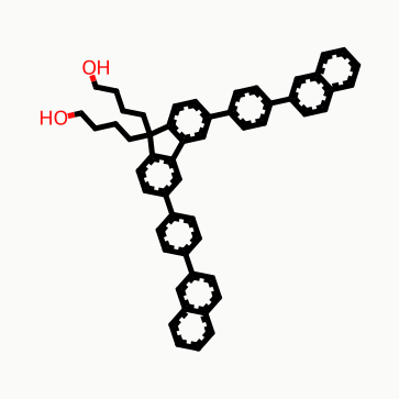 OCCCCC1(CCCCO)c2ccc(-c3ccc(-c4ccc5ccccc5c4)cc3)cc2-c2cc(-c3ccc(-c4ccc5ccccc5c4)cc3)ccc21